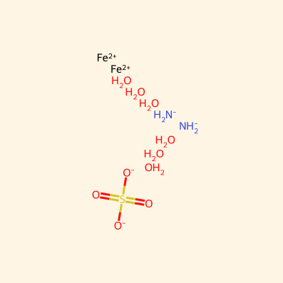 O.O.O.O.O.O.O=S(=O)([O-])[O-].[Fe+2].[Fe+2].[NH2-].[NH2-]